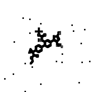 CCOC(=O)C1(c2ccc(-c3ccc(-c4sc(Cl)cc4N)cc3NC(=O)OC(C)(C)C)cc2)CC1